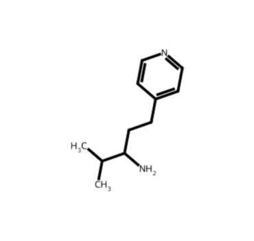 CC(C)C(N)CCc1ccncc1